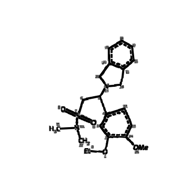 CCOc1cc(C(CS(=O)(=O)N(C)C)N2Cc3ccccc3C2)ccc1OC